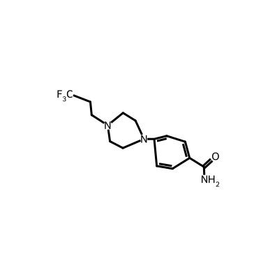 NC(=O)c1ccc(N2CCN(CCC(F)(F)F)CC2)cc1